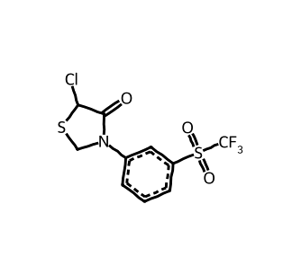 O=C1C(Cl)SCN1c1cccc(S(=O)(=O)C(F)(F)F)c1